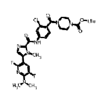 CN(C)c1nc(F)c(-c2cnc(C(=O)Nc3ccc(C(=O)N4CCN(C(=O)OC(C)(C)C)CC4)c(Cl)c3)n2C)cc1F